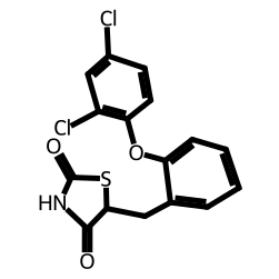 O=C1NC(=O)C(Cc2ccccc2Oc2ccc(Cl)cc2Cl)S1